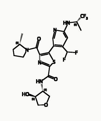 C[C@H](Nc1cc(C(F)F)c(-c2sc(C(=O)N[C@@H]3COC[C@H]3O)nc2C(=O)N2CCC[C@@H]2C)cn1)C(F)(F)F